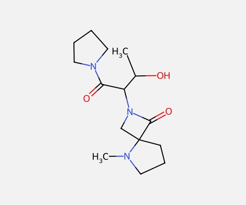 CC(O)C(C(=O)N1CCCC1)N1CC2(CCCN2C)C1=O